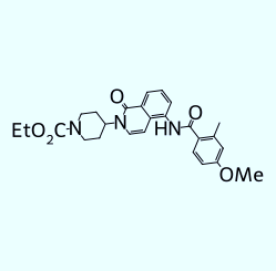 CCOC(=O)N1CCC(n2ccc3c(NC(=O)c4ccc(OC)cc4C)cccc3c2=O)CC1